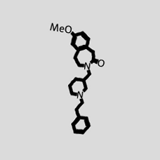 COc1ccc2c(c1)CCN(CC1CCCN(CCc3ccccc3)C1)C(=O)C2